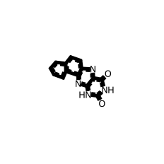 O=c1[nH]c(=O)c2nc3ccc4ccccc4c3nc2[nH]1